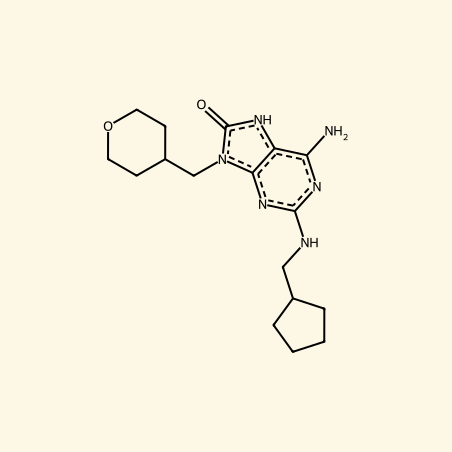 Nc1nc(NCC2CCCC2)nc2c1[nH]c(=O)n2CC1CCOCC1